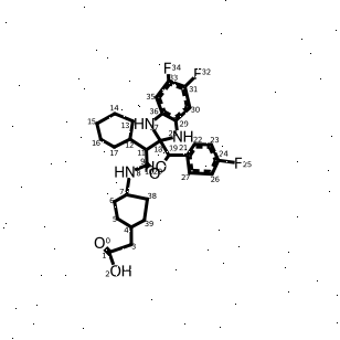 O=C(O)CC1CCC(NC(=O)C(C2CCCCC2)C2(C(O)c3ccc(F)cc3)Nc3cc(F)c(F)cc3N2)CC1